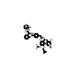 O=C(Cc1ccc(CNC(C(=O)O[C@H]2CN3CCC2CC3)c2ccccc2F)cc1)O[C@@H](Cc1c(Cl)c[n+]([O-])cc1Cl)c1ccc(OC(F)F)c(OCC2CC2)c1